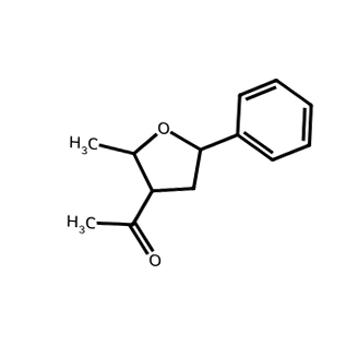 CC(=O)C1CC(c2ccccc2)OC1C